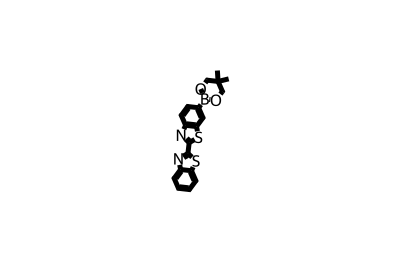 CC1(C)COB(c2ccc3nc(-c4nc5ccccc5s4)sc3c2)OC1